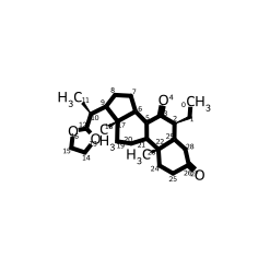 CC[C@@H]1C(=O)C2C3CCC([C@H](C)C4OCCO4)[C@@]3(C)CCC2[C@@]2(C)CCC(=O)CC12